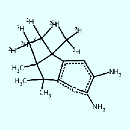 [2H]C([2H])([2H])C1(C)C(C)(C)c2cc(N)c(N)cc2C1(C([2H])([2H])[2H])C([2H])([2H])[2H]